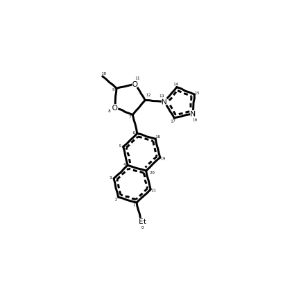 CCc1ccc2cc(C3OC(C)OC3n3ccnc3)ccc2c1